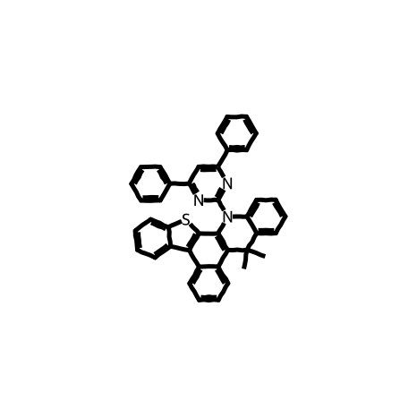 CC1(C)c2ccccc2N(c2nc(-c3ccccc3)cc(-c3ccccc3)n2)c2c1c1ccccc1c1c2sc2ccccc21